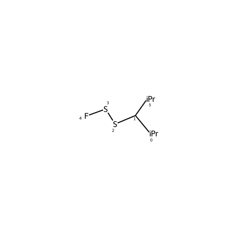 CC(C)C(SSF)C(C)C